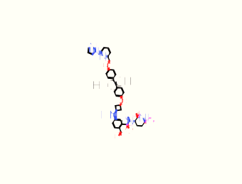 CN(C(=O)c1cc(NC2CC(Oc3ccc(C(C)(C)c4ccc(OCc5cccc(-n6cccn6)n5)cc4)cc3)C2)ccc1C=O)C1CCC(=O)NC1=O